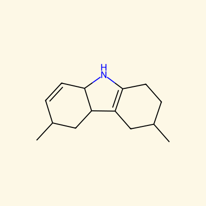 CC1C=CC2NC3=C(CC(C)CC3)C2C1